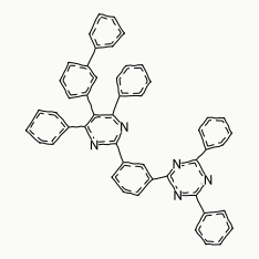 c1ccc(-c2cccc(-c3c(-c4ccccc4)nc(-c4cccc(-c5nc(-c6ccccc6)nc(-c6ccccc6)n5)c4)nc3-c3ccccc3)c2)cc1